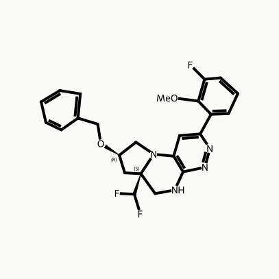 COc1c(F)cccc1-c1cc2c(nn1)NC[C@]1(C(F)F)C[C@@H](OCc3ccccc3)CN21